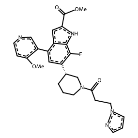 COC(=O)c1cc2c(-c3cnccc3OC)cc([C@H]3CCCN(C(=O)CCn4cccn4)C3)c(F)c2[nH]1